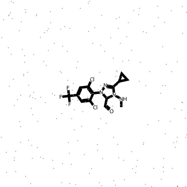 CNN1C(C2CC2)=NN(c2c(Cl)cc(C(F)(F)F)cc2Cl)C1C=O